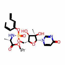 C=C/C=C(\C=C/C)O[P@](=O)(N[C@@H](C)C(=O)OC(C)C)OC[C@H]1O[C@@H](n2ccc(=O)nc2)[C@](C)(O)[C@@H]1O